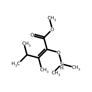 COC(=O)C(O[SiH](C)C)=C(C)C(C)C